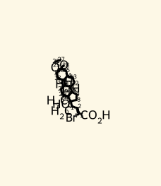 C=C(C=C(Br)C(=O)O)[C@]1(O)CC[C@H]2[C@@H]3CC=C4CC5(CC[C@@H]4[C@H]3CC[C@@]21C)OCCO5